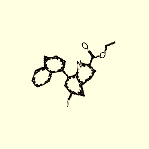 CCOC(=O)c1ccc2cc(I)cc(-c3cccc4ccccc34)c2n1